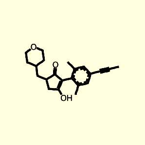 CC#Cc1cc(C)c(C2=C(O)CC(CC3CCOCC3)C2=O)c(C)c1